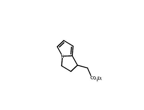 CCOC(=O)CC1CCn2cccc21